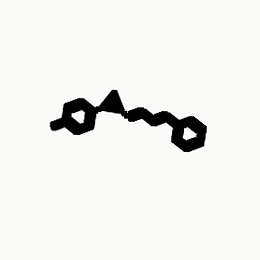 Cc1ccc([C@@H]2C[C@@H]2/C=C/C=C/c2ccccc2)cc1